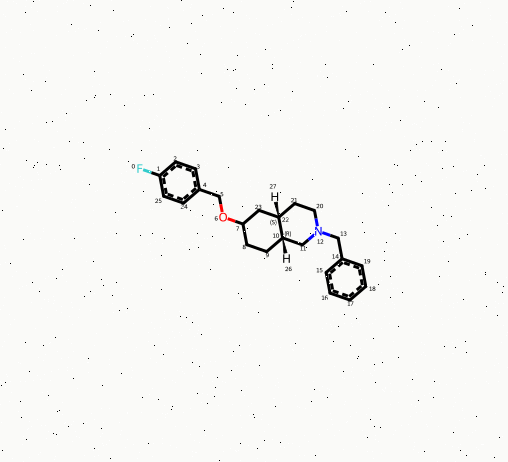 Fc1ccc(COC2CC[C@H]3CN(Cc4ccccc4)CC[C@H]3C2)cc1